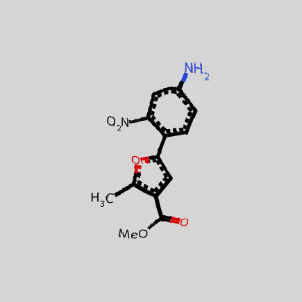 COC(=O)c1cc(-c2ccc(N)cc2[N+](=O)[O-])oc1C